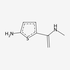 C=C(NC)c1ccc(N)s1